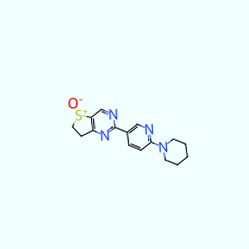 [O-][S+]1CCc2nc(-c3ccc(N4CCCCC4)nc3)ncc21